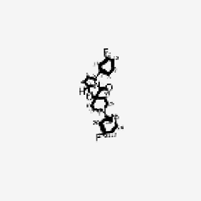 O=C1N2[C@@H](CC[C@H]2c2cccc(F)c2)OC12CCN(c1cc(F)ccn1)CC2